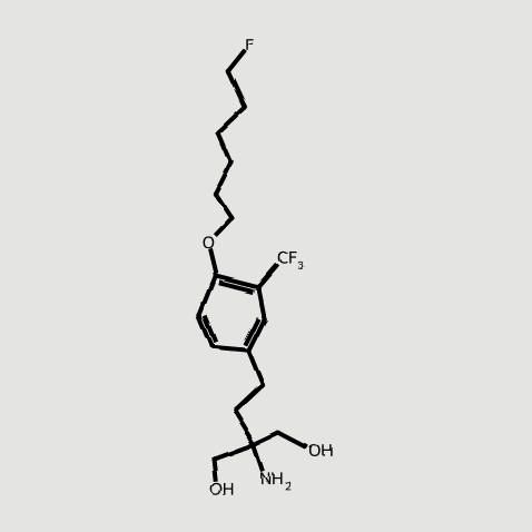 NC(CO)(CO)CCc1ccc(OCCCCCCF)c(C(F)(F)F)c1